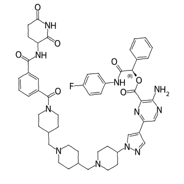 Nc1ncc(-c2cnn(C3CCN(CC4CCN(CC5CCN(C(=O)c6cccc(C(=O)NC7CCC(=O)NC7=O)c6)CC5)CC4)CC3)c2)nc1C(=O)O[C@@H](C(=O)Nc1ccc(F)cc1)c1ccccc1